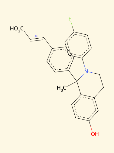 CC1(c2ccc(/C=C/C(=O)O)cc2)c2ccc(O)cc2CCN1c1ccc(F)cc1